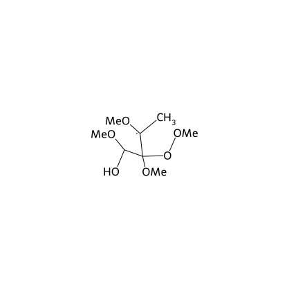 COOC(OC)([C](C)OC)C(O)OC